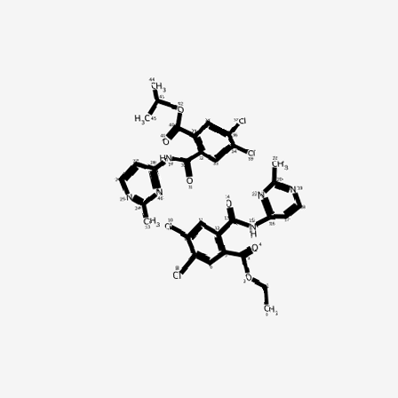 CCOC(=O)c1cc(Cl)c(Cl)cc1C(=O)Nc1ccnc(C)n1.Cc1nccc(NC(=O)c2cc(Cl)c(Cl)cc2C(=O)OC(C)C)n1